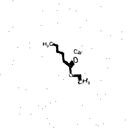 CCCCCC(=O)OCC.[Ca]